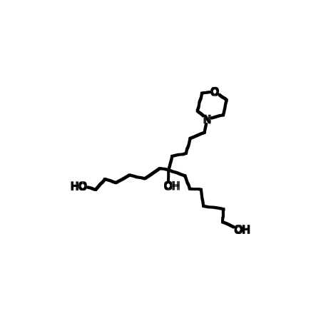 OCCCCCCC(O)(CCCCCCO)CCCCN1CCOCC1